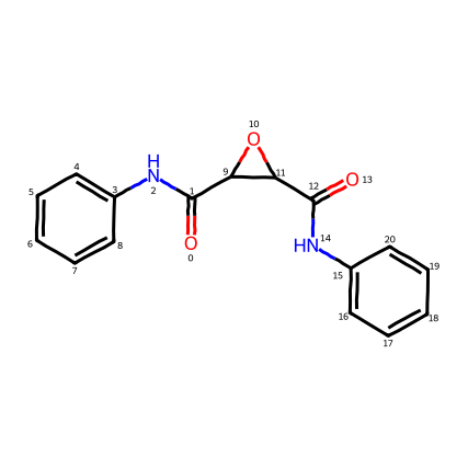 O=C(Nc1ccccc1)C1OC1C(=O)Nc1ccccc1